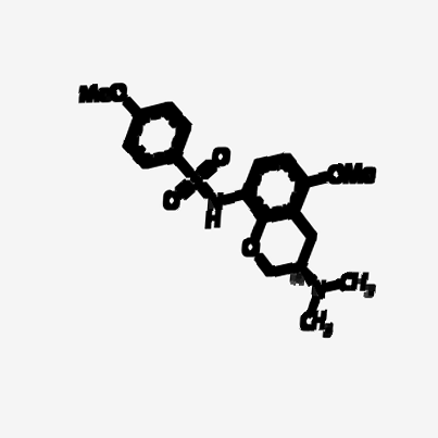 COc1ccc(S(=O)(=O)Nc2ccc(OC)c3c2OC[C@H](N(C)C)C3)cc1